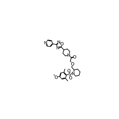 COc1cc(C)c(S(=O)(=O)N2CCCCC2COCC(=O)N2CCC(c3nc(-c4ccncc4)no3)CC2)c(C)c1